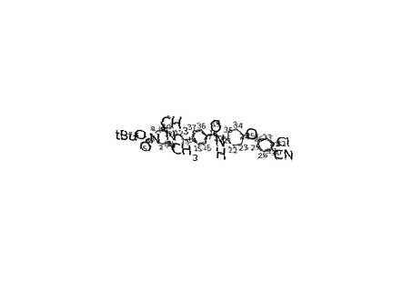 C[C@@H]1CN(C(=O)OC(C)(C)C)C[C@@H](C)N1CCc1ccc(C(=O)N[C@H]2CC[C@H](Oc3ccc(C#N)c(Cl)c3)CC2)cc1